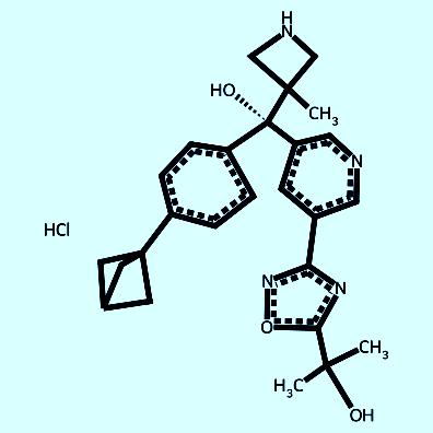 CC(C)(O)c1nc(-c2cncc([C@@](O)(c3ccc(C45CC(C4)C5)cc3)C3(C)CNC3)c2)no1.Cl